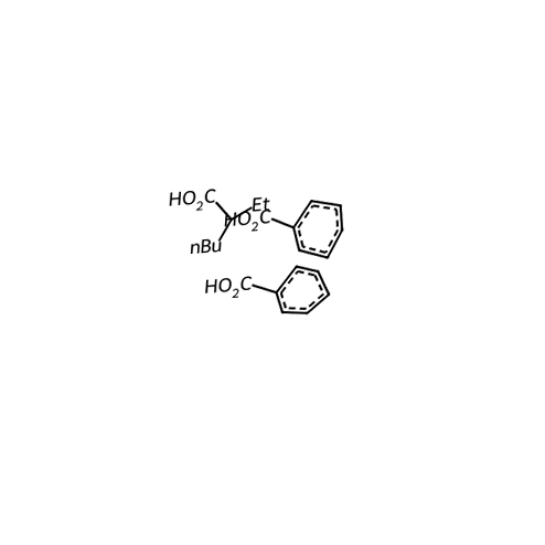 CCCCC(CC)C(=O)O.O=C(O)c1ccccc1.O=C(O)c1ccccc1